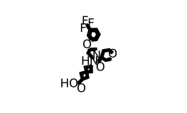 O=C(O)C1CC2(CC(NC(=O)C3(N4CCC(Oc5cccc(C(F)(F)F)c5)C4)CCOCC3)C2)C1